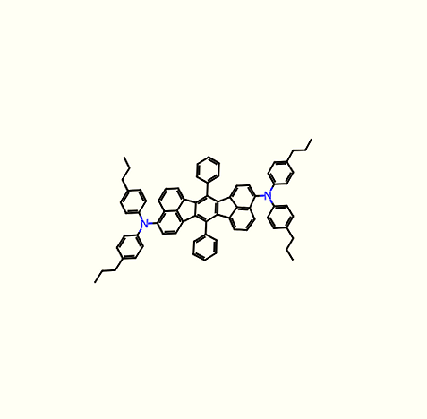 CCCc1ccc(N(c2ccc(CCC)cc2)c2ccc3c4c(-c5ccccc5)c5c6cccc7c(N(c8ccc(CCC)cc8)c8ccc(CCC)cc8)ccc(c5c(-c5ccccc5)c4c4cccc2c43)c76)cc1